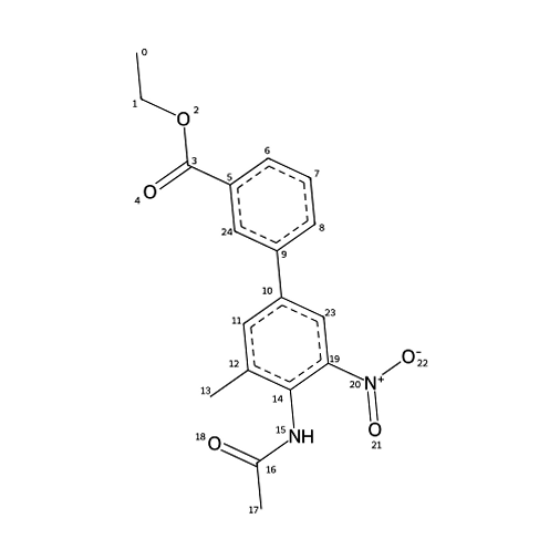 CCOC(=O)c1cccc(-c2cc(C)c(NC(C)=O)c([N+](=O)[O-])c2)c1